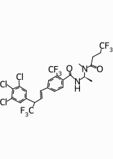 C[C@@H](NC(=O)c1ccc(/C=C/C(c2cc(Cl)c(Cl)c(Cl)c2)C(F)(F)F)cc1C(F)(F)F)N(C)C(=O)CCC(F)(F)F